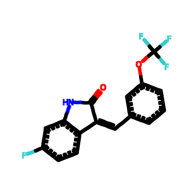 O=C1Nc2cc(F)ccc2C1=Cc1cccc(OC(F)(F)F)c1